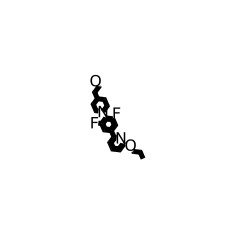 CCCOc1cccc(-c2cc(F)c(N3CCC(CC=O)CC3)c(F)c2)n1